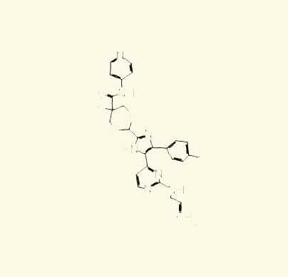 C=CCNc1nccc(-c2[nH]c(C3OCC(C)(C(=O)Nc4ccncc4)CO3)nc2-c2ccc(F)cc2)n1